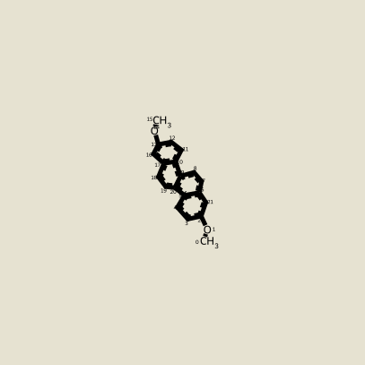 COc1ccc2c(ccc3c4ccc(OC)cc4ccc23)c1